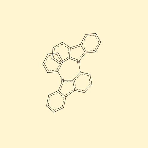 c1ccc(-n2c3ccccc3c3cccc(-n4c5ccccc5c5ccccc54)c32)cc1